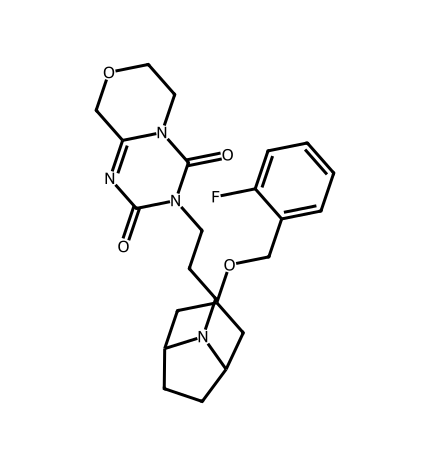 O=c1nc2n(c(=O)n1CCCN1C3CCC1CC(OCc1ccccc1F)C3)CCOC2